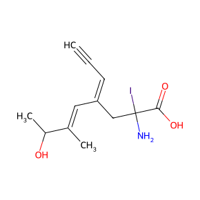 C#C/C=C(\C=C(/C)C(C)O)CC(N)(I)C(=O)O